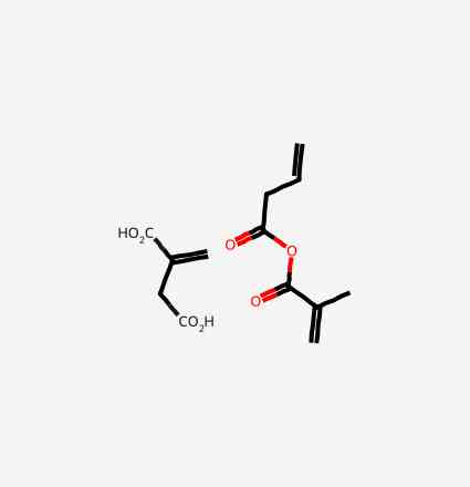 C=C(CC(=O)O)C(=O)O.C=CCC(=O)OC(=O)C(=C)C